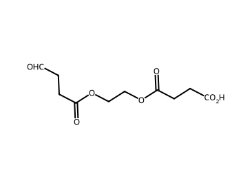 O=CCCC(=O)OCCOC(=O)CCC(=O)O